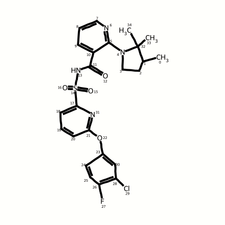 CC1CCN(c2ncccc2C(=O)NS(=O)(=O)c2cccc(Oc3ccc(F)c(Cl)c3)n2)C1(C)C